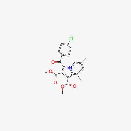 COC(=O)c1c(C(=O)OC)c2c(C)cc(C)cn2c1C(=O)c1ccc(Cl)cc1